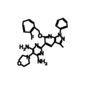 Cc1nn(-c2ccccc2)c2nc(OCC3=C(F)C=CCC=C3)c(-c3nc(N)c(N4CCOCC4)c(N)n3)cc12